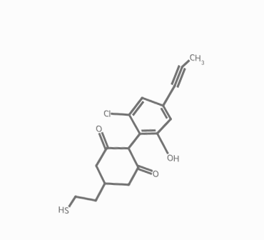 CC#Cc1cc(O)c(C2C(=O)CC(CCS)CC2=O)c(Cl)c1